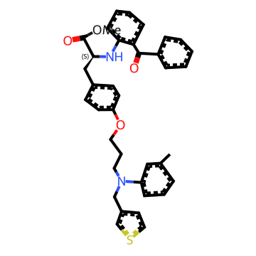 COC(=O)[C@H](Cc1ccc(OCCCN(Cc2ccsc2)c2cccc(C)c2)cc1)Nc1ccccc1C(=O)c1ccccc1